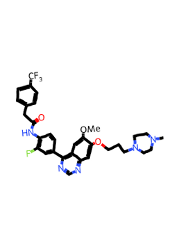 COc1cc2c(-c3ccc(NC(=O)Cc4ccc(C(F)(F)F)cc4)c(F)c3)ncnc2cc1OCCCN1CCN(C)CC1